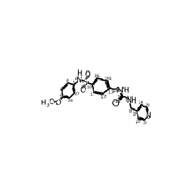 COc1ccc(NS(=O)(=O)c2ccc(NC(=O)NCc3ccncc3)cc2)cc1